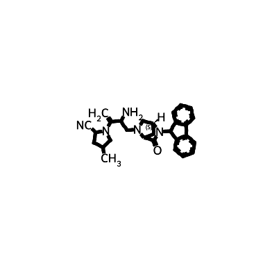 C=C(C(N)CN1C[C@@H]2CC1C(=O)N2C1c2ccccc2-c2ccccc21)N1CC(C)CC1C#N